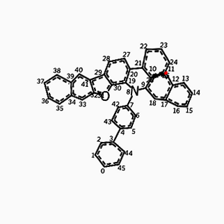 c1ccc(-c2ccc(N(c3ccc4ccccc4c3)c3c(-c4ccccc4)ccc4c3oc3cc5ccccc5cc34)cc2)cc1